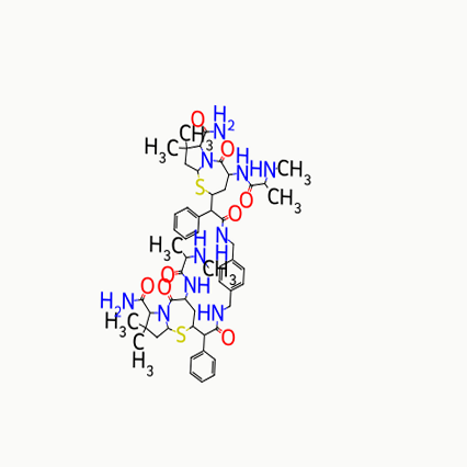 CNC(C)C(=O)NC1CC(C(C(=O)NCc2ccc(CNC(=O)C(c3ccccc3)C3CC(NC(=O)C(C)NC)C(=O)N4C(CC(C)(C)C4C(N)=O)S3)cc2)c2ccccc2)SC2CC(C)(C)C(C(N)=O)N2C1=O